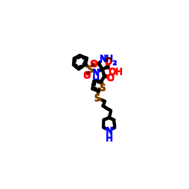 NCC(NS(=O)(=O)c1ccccc1)(C(=O)O)C(=O)c1ccc(SCCCC2CCNCC2)s1